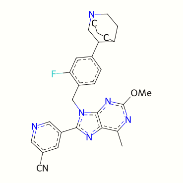 COc1nc(C)c2nc(-c3cncc(C#N)c3)n(Cc3ccc(C4CN5CCCC4CC5)cc3F)c2n1